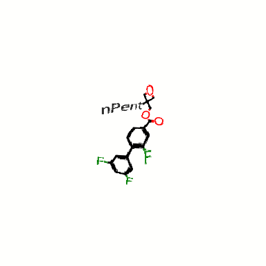 CCCCCC1(COC(=O)c2ccc(-c3cc(F)cc(F)c3)c(F)c2)COC1